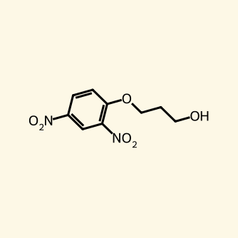 O=[N+]([O-])c1ccc(OCCCO)c([N+](=O)[O-])c1